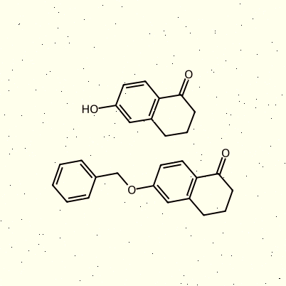 O=C1CCCc2cc(O)ccc21.O=C1CCCc2cc(OCc3ccccc3)ccc21